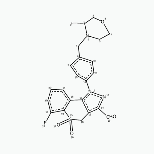 C[C@@H]1COCCN1Cc1ccc(-n2nc(C=O)c3c2-c2cccc(F)c2S(=O)(=O)C3)cc1